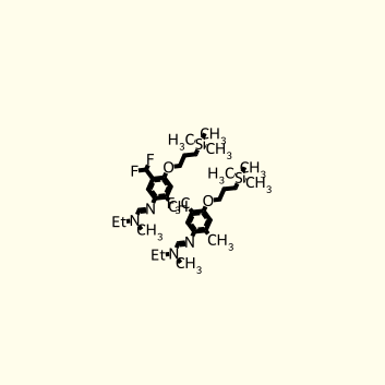 CCN(C)C=Nc1cc(C(F)(F)F)c(OCCC[Si](C)(C)C)cc1C.CCN(C)C=Nc1cc(C(F)F)c(OCCC[Si](C)(C)C)cc1C